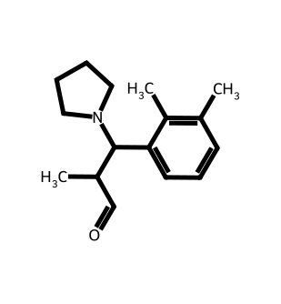 Cc1cccc(C(C(C)C=O)N2CCCC2)c1C